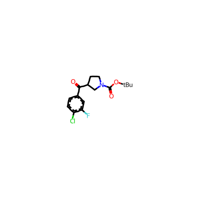 CC(C)(C)OC(=O)N1CCC(C(=O)c2ccc(Cl)c(F)c2)C1